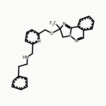 FC(F)(F)C1(OCc2cccc(CNCCc3ccccc3)n2)CN2N=Cc3ccccc3C2=N1